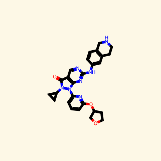 O=c1c2cnc(Nc3ccc4c(c3)CCNC4)nc2n(-c2cccc(OC3CCOC3)n2)n1C1CC1